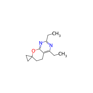 CCc1nc(CC)c2c(n1)OC1(CC2)CC1